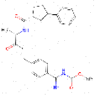 CCCOC(=O)NC(=N)c1ccc(CCC(=O)[C@H](C)NC(=O)[C@@H]2CC[C@@H](c3ccccc3)C2)cc1